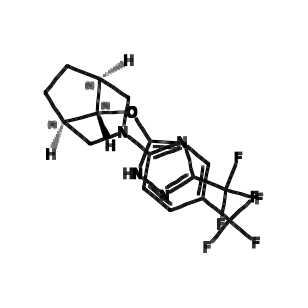 FC(F)(F)c1ccc(N2C[C@H]3CC[C@@H](C2)[C@@H]3Oc2cc(C(F)(F)F)n[nH]2)nc1